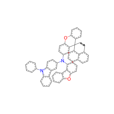 c1ccc(-n2c3ccccc3c3cc(N(c4ccc5c(c4)C4(c6ccccc6O5)c5ccccc5-c5cccc6cccc4c56)c4cccc5oc6ccccc6c45)ccc32)cc1